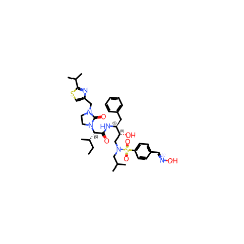 CCC(C)[C@@H](C(=O)N[C@@H](Cc1ccccc1)[C@H](O)CN(CC(C)C)S(=O)(=O)c1ccc(/C=N/O)cc1)N1CCN(Cc2csc(C(C)C)n2)C1=O